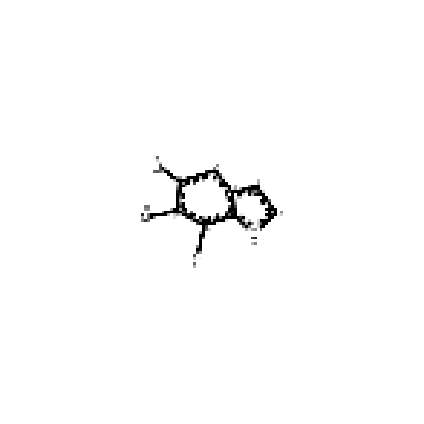 Clc1cc2c[c]oc2c(Cl)c1Cl